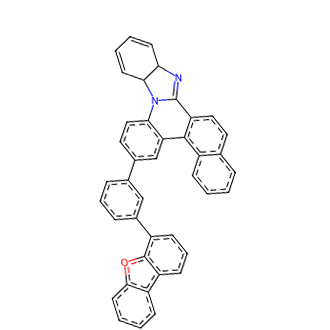 C1=CC2N=C3c4ccc5ccccc5c4-c4cc(-c5cccc(-c6cccc7c6oc6ccccc67)c5)ccc4N3C2C=C1